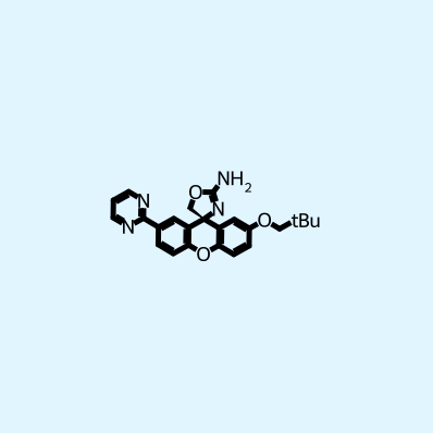 CC(C)(C)COc1ccc2c(c1)[C@]1(COC(N)=N1)c1cc(-c3ncccn3)ccc1O2